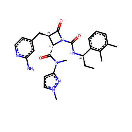 CC[C@@H](NC(=O)N1C(=O)[C@H](Cc2ccnc(N)c2)[C@H]1C(=O)N(C)c1ccn(C)n1)c1cccc(C)c1C